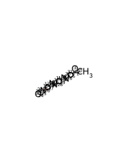 CCC(=O)c1ccc(N=Nc2ccc(N=Nc3ccc(N4CCOCC4)cc3)cc2)cc1